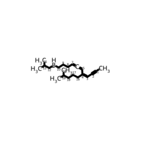 CC#C/C=C(\C=C=CCCCBCC(C)C)CCCC(C)C